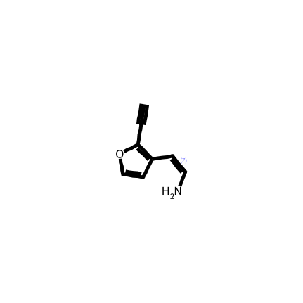 C#Cc1occc1/C=C\N